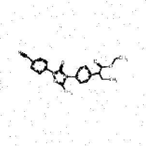 CCOC(=O)C(CC)c1ccc(-n2c(C)nn(-c3ccc(C#N)cc3)c2=O)cc1